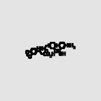 NC1=CC(=NO)C(N2CCN(CC(=O)NC(CC(=O)O)c3ccc4c(c3)OCO4)CC2=O)C=C1